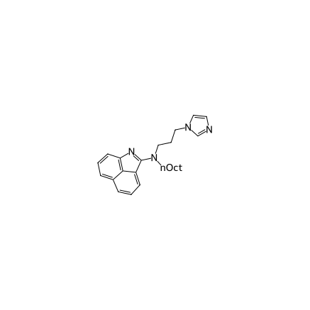 CCCCCCCCN(CCCn1ccnc1)C1=Nc2cccc3cccc1c23